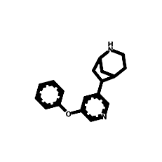 c1ccc(Oc2cncc(C3CC4CC3CCN4)c2)cc1